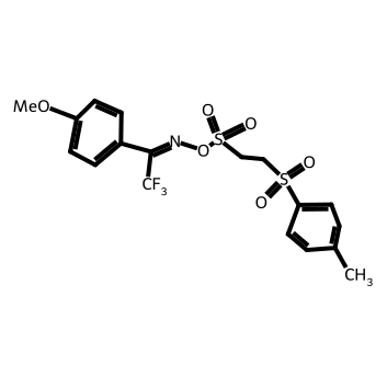 COc1ccc(C(=NOS(=O)(=O)CCS(=O)(=O)c2ccc(C)cc2)C(F)(F)F)cc1